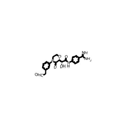 N=C(N)c1ccc(NC(=O)[C@H](O)[C@H]2OCCN(c3cccc(CC=O)c3)C2=O)cc1